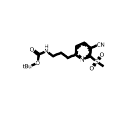 CC(C)(C)OC(=O)NCCCc1ccc(C#N)c(S(C)(=O)=O)n1